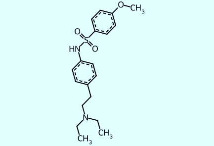 CCN(CC)CCc1ccc(NS(=O)(=O)c2ccc(OC)cc2)cc1